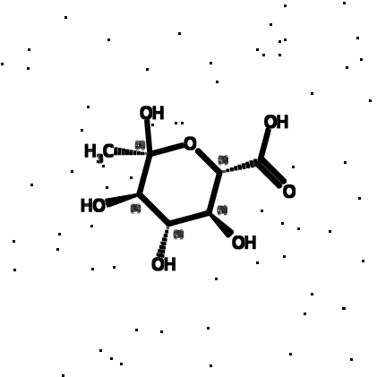 C[C@]1(O)O[C@H](C(=O)O)[C@@H](O)[C@H](O)[C@H]1O